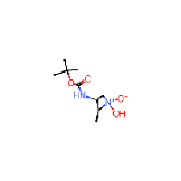 CC1[C@@H](NC(=O)OC(C)(C)C)C[N+]1([O-])O